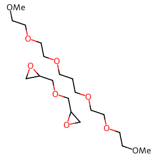 C(OCC1CO1)C1CO1.COCCOCCOCCCOCCOCCOC